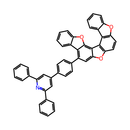 c1ccc(-c2cc(-c3ccc(-c4cc5oc6ccc7oc8ccccc8c7c6c5c5oc6ccccc6c45)cc3)cc(-c3ccccc3)n2)cc1